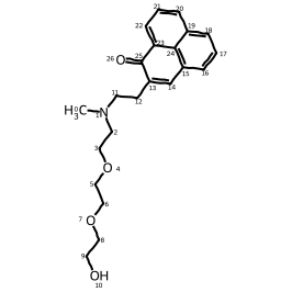 CN(CCOCCOCCO)CCC1=Cc2cccc3cccc(c23)C1=O